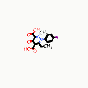 CCC1=C(C(=O)O)C(=O)C(C(=O)O)N(C)N1c1ccc(I)cc1